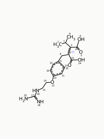 CC(C)/C(C(=O)O)=C(\Cc1ccc(OCCNC(=N)N)cc1)C(=O)O